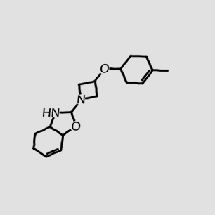 CC1=CCC(OC2CN(C3NC4CCC=CC4O3)C2)CC1